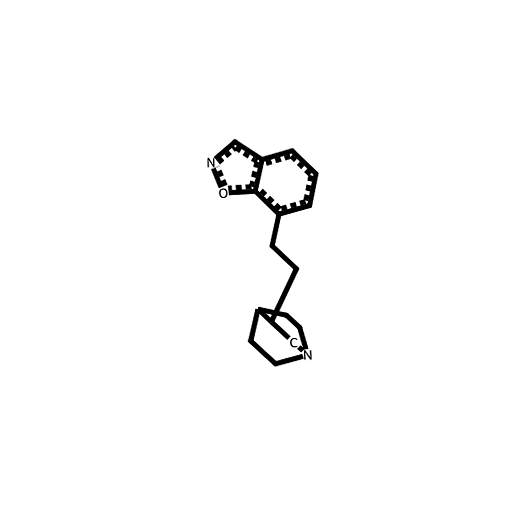 c1cc(CCC2CN3CCC2CC3)c2oncc2c1